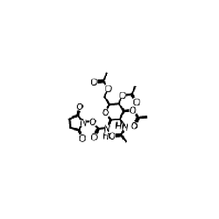 CC(=O)NC1C(NC(=O)ON2C(=O)CCC2=O)OC(COC(C)=O)C(OC(C)=O)C1OC(C)=O